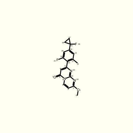 COc1ccn2c(=O)cc(-c3c(C)cc(C4(F)CC4)cc3F)nc2n1